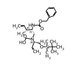 C=C[C@@H](C)[C@@H](CN(C(=O)O)[C@H](C=C)CO[Si](C)(C)C(C)(C)C)NC(=O)OCc1ccccc1